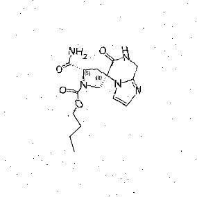 CCCCOC(=O)N1C[C@]2(C[C@H]1C(N)=O)C(=O)NCc1nccn12